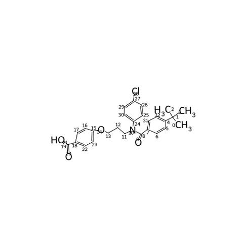 CC(C)(C)c1ccc(C(=O)N(CCCOc2ccc(C(=O)O)cc2)c2ccc(Cl)cc2)cc1